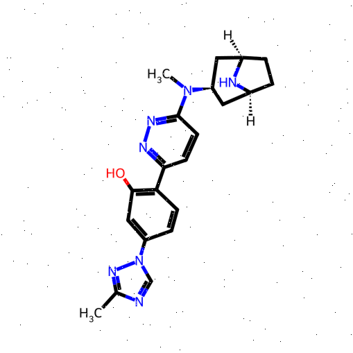 Cc1ncn(-c2ccc(-c3ccc(N(C)[C@H]4C[C@H]5CC[C@@H](C4)N5)nn3)c(O)c2)n1